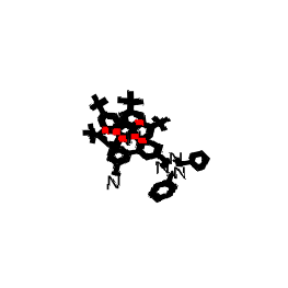 CC(C)(C)c1ccc2c(c1)c1cc(C(C)(C)C)ccc1n2-c1ccc(C#N)cc1-c1cc(-c2nc(-c3ccccc3)nc(-c3ccccc3)n2)ccc1-n1c2ccc(C(C)(C)C)cc2c2cc(C(C)(C)C)ccc21